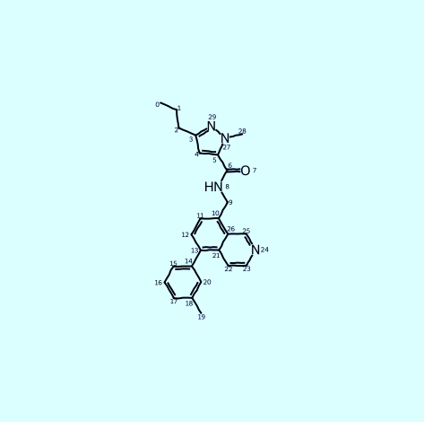 CCCc1cc(C(=O)NCc2ccc(-c3cccc(C)c3)c3ccncc23)n(C)n1